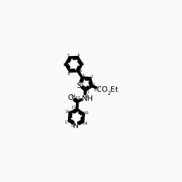 CCOC(=O)c1cc(-c2ccccc2)sc1NC(=O)c1ccncc1